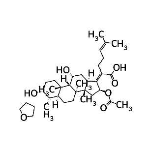 C1CCOC1.CC(=O)O[C@H]1C[C@@]2(C)[C@@H](C[C@@H](O)[C@H]3[C@@]4(C)CC[C@@H](O)[C@@H](C)[C@@H]4CC[C@@]32C)/C1=C(\CCC=C(C)C)C(=O)O